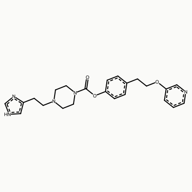 O=C(Oc1ccc(CCOc2cccnc2)cc1)N1CCN(CCc2c[nH]cn2)CC1